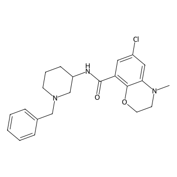 CN1CCOc2c(C(=O)NC3CCCN(Cc4ccccc4)C3)cc(Cl)cc21